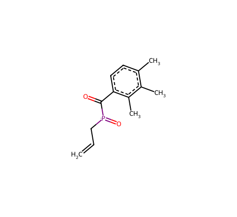 C=CC[P](=O)C(=O)c1ccc(C)c(C)c1C